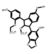 CCCOc1ccc2c(c1)C(c1ccc(OC)cc1OCC(=O)O)C(OC(=O)O)C2c1cc2c(cc1OC)OCO2